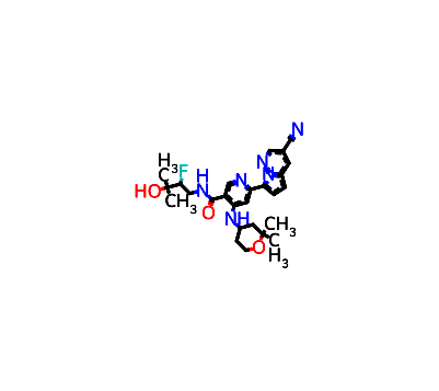 CC1(C)CC(Nc2cc(-c3ccc4cc(C#N)cnn34)ncc2C(=O)NCC(F)C(C)(C)O)CCO1